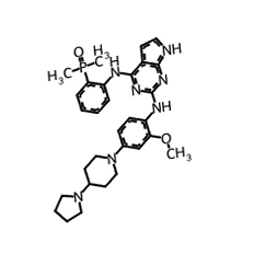 COc1cc(N2CCC(N3CCCC3)CC2)ccc1Nc1nc(Nc2ccccc2P(C)(C)=O)c2cc[nH]c2n1